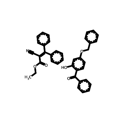 CCOC(=O)C(C#N)=C(c1ccccc1)c1ccccc1.O=C(c1ccccc1)c1ccc(OCc2ccccc2)cc1O